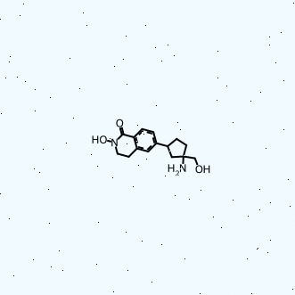 NC1(CO)CCC(c2ccc3c(c2)CCN(O)C3=O)C1